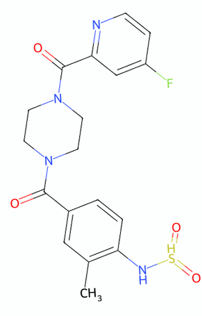 Cc1cc(C(=O)N2CCN(C(=O)c3cc(F)ccn3)CC2)ccc1N[SH](=O)=O